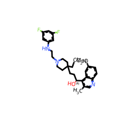 COc1ccc2ncc(C)c([C@H](O)CCC3(CC(=O)O)CCN(CCNc4cc(F)cc(F)c4)CC3)c2c1